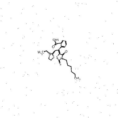 CCCCCCN1C(=O)C(=C(C=C2SCCN2CC)c2ccccc2C(=O)O)SC1=S